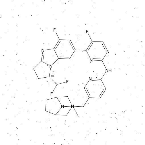 CCN1C2CCC1CN(Cc1ccc(Nc3ncc(F)c(-c4cc(F)c5nc6n(c5c4)[C@H](C(F)F)CC6)n3)nc1)C2